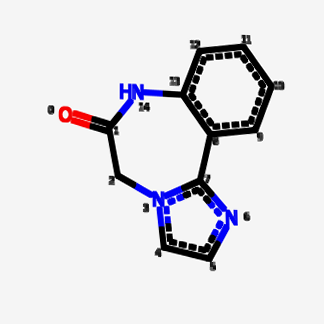 O=C1Cn2ccnc2-c2ccccc2N1